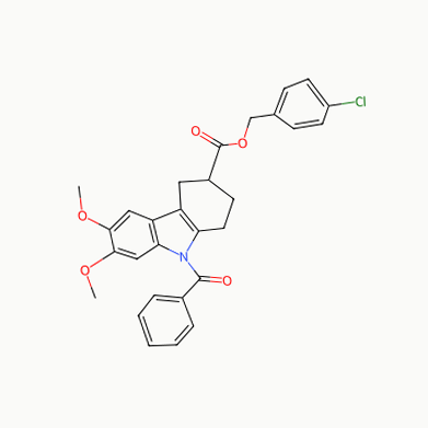 COc1cc2c3c(n(C(=O)c4ccccc4)c2cc1OC)CCC(C(=O)OCc1ccc(Cl)cc1)C3